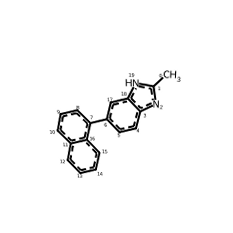 Cc1nc2ccc(-c3cccc4ccccc34)cc2[nH]1